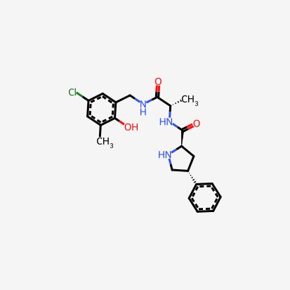 Cc1cc(Cl)cc(CNC(=O)[C@H](C)NC(=O)[C@H]2C[C@H](c3ccccc3)CN2)c1O